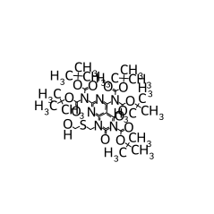 CC(C)(C)OC(=O)N(C(=O)OC(C)(C)C)c1nc(N(C(=O)OC(C)(C)C)C(=O)OC(C)(C)C)c2c(=O)n(C(=O)OC(C)(C)C)c(=O)n(CSCO)c2n1